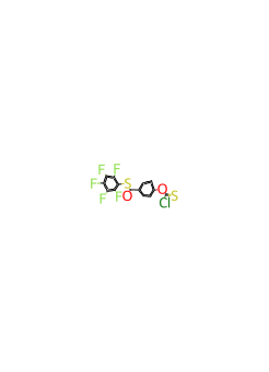 O=C(Sc1c(F)c(F)c(F)c(F)c1F)c1ccc(OC(=S)Cl)cc1